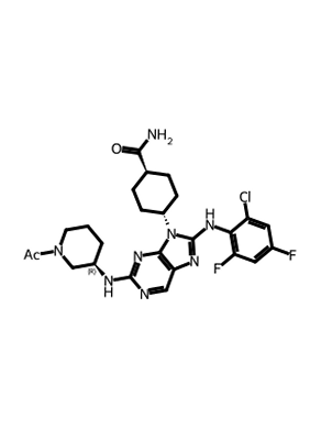 CC(=O)N1CCC[C@@H](Nc2ncc3nc(Nc4c(F)cc(F)cc4Cl)n([C@H]4CC[C@H](C(N)=O)CC4)c3n2)C1